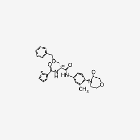 Cc1cc(NC(=O)[C@@H](COCc2ccccc2)NC(=O)c2cccs2)ccc1N1CCOCC1=O